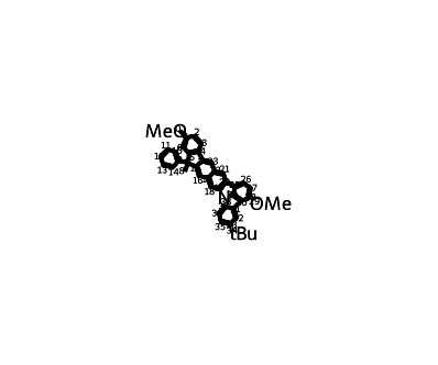 COc1ccc2c(c1)C(C)(c1ccccc1)c1cc3cc4c(cc3cc1-2)c1ccc(OC)c2c3cc(C(C)(C)C)ccc3n4c12